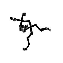 C=CCC(C)(CC(C)(CC)C(=O)O)SCCO